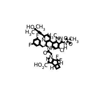 Cn1nc(NS(C)(=O)=O)c2c(Cl)ccc(-c3ccc(C#CC(C)(C)O)nc3[C@H](Cc3cc(F)cc(F)c3)NC(=O)Cn3nc(C(=O)O)c4c3C(F)(F)[C@@H]3CC[C@H]43)c21